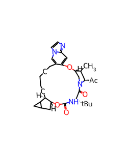 CC(=O)[C@@H]1[C@H](C)[C@@H]2CN1C(=O)[C@H](C(C)(C)C)NC(=O)O[C@@H]1CC3CC3[C@H]1CCCCCc1cn3ccnc3cc1O2